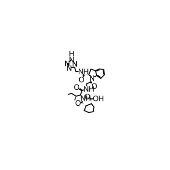 CC[C@H](C)[C@H](NC(=O)[C@H]1CCCC[C@H]1C(=O)O)C(=O)NCC(=O)N1c2ccccc2C[C@H]1C(=O)NCc1nn[nH]n1